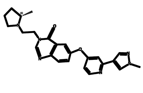 C[C@H]1CCCN1CCn1cnc2ccc(Oc3ccnc(-c4cnn(C)c4)c3)cc2c1=O